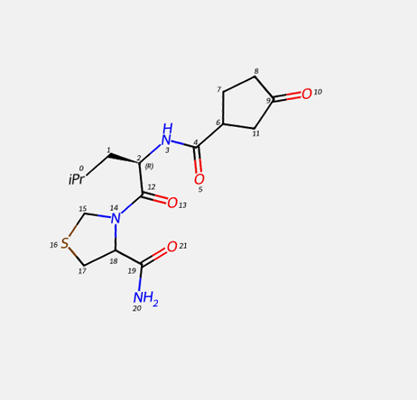 CC(C)C[C@@H](NC(=O)C1CCC(=O)C1)C(=O)N1CSCC1C(N)=O